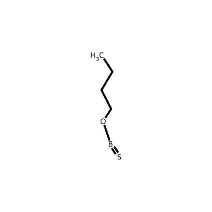 CCCCOB=S